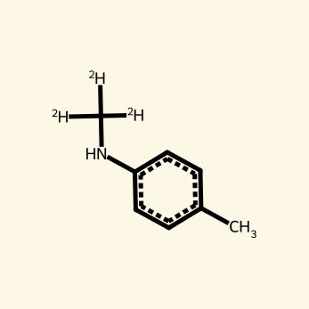 [2H]C([2H])([2H])Nc1ccc(C)cc1